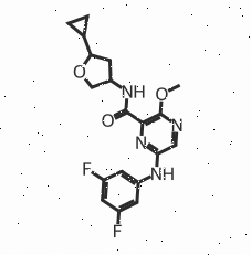 COc1ncc(Nc2cc(F)cc(F)c2)nc1C(=O)NC1COC(C2CC2)C1